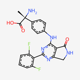 C[C@](N)(C(=O)O)c1ccc(Nc2nc(-c3c(F)cccc3F)nc3c2C(=O)NC3)cc1